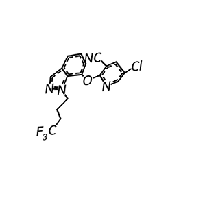 N#Cc1cc(Cl)cnc1Oc1cccc2cnn(CCCC(F)(F)F)c12